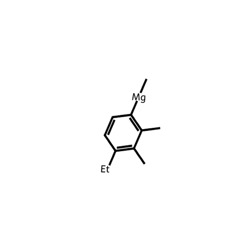 CCc1cc[c]([Mg][CH3])c(C)c1C